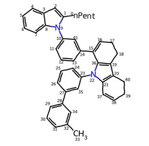 CCCCCc1cc2ccccc2n1-c1cccc(C2=CCCc3c4c(n(-c5cccc(-c6cccc(C)c6)c5)c32)C=CCC4)c1